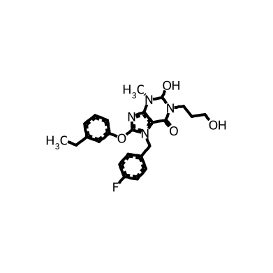 CCc1cccc(Oc2nc3c(n2Cc2ccc(F)cc2)C(=O)N(CCCO)C(O)N3C)c1